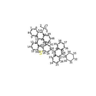 CC(C)(C)c1c2ccccc2c(-c2cccc3sc4cc(-c5c6ccccc6c(C6CCCCC6)c6ccccc56)ccc4c23)c2ccccc12